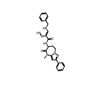 CN1C(=O)C(NC(=O)/C(=C/NCc2ccccc2)N=N)CCn2nc(-c3ccccc3)cc21